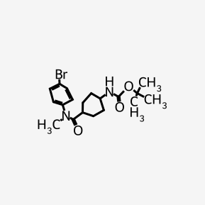 CN(C(=O)C1CCC(NC(=O)OC(C)(C)C)CC1)c1ccc(Br)cc1